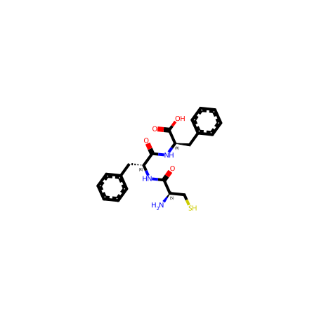 N[C@H](CS)C(=O)N[C@H](Cc1ccccc1)C(=O)N[C@H](Cc1ccccc1)C(=O)O